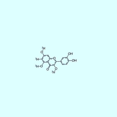 [3H]Oc1cc2oc(-c3ccc(O)c(O)c3)c(O[3H])c(=O)c2c(O[3H])c1[3H]